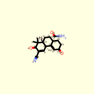 CC1(C)C(=O)C(C#N)=C[C@]2(C)C3=CC(=O)CC[C@]3(C(N)=O)CC[C@@H]12